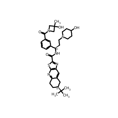 CC1(O)CN(C(=O)c2cccc([C@@H](CCN3CCC(O)CC3)NC(=O)c3nc4cc5c(nc4s3)CC[C@H](C(C)(C)C)C5)c2)C1